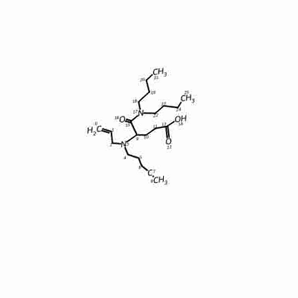 C=CCN(CCCCC)C(CCC(=O)O)C(=O)N(CCCC)CCCC